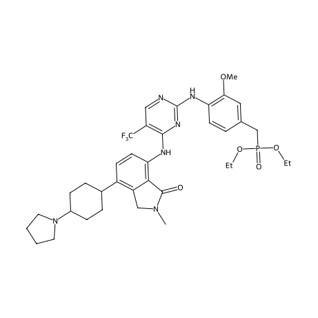 CCOP(=O)(Cc1ccc(Nc2ncc(C(F)(F)F)c(Nc3ccc(C4CCC(N5CCCC5)CC4)c4c3C(=O)N(C)C4)n2)c(OC)c1)OCC